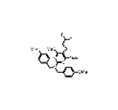 COc1ccc(CN(Cc2ccc(OC)cc2)c2nc(OC)c(OCC(F)F)c(OC)n2)cc1